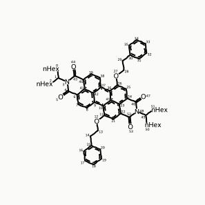 CCCCCCC(CCCCCC)N1C(=O)c2ccc3c4c(OCCc5ccccc5)cc5c6c(cc(OCCc7ccccc7)c(c7ccc(c2c37)C1=O)c64)C(=O)N(C(CCCCCC)CCCCCC)C5=O